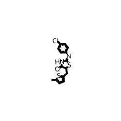 Cc1ccc(CC2S/C(=N/c3ccc(Cl)cc3)NC2=O)s1